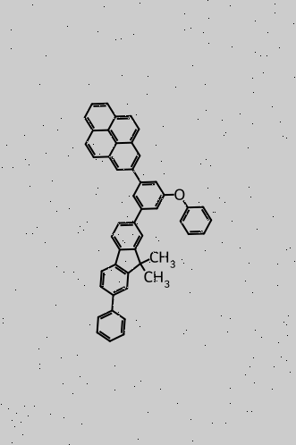 CC1(C)c2cc(-c3ccccc3)ccc2-c2ccc(-c3cc(Oc4ccccc4)cc(-c4cc5ccc6cccc7ccc(c4)c5c67)c3)cc21